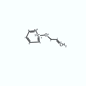 C=C[CH]O[13c]1ccccn1